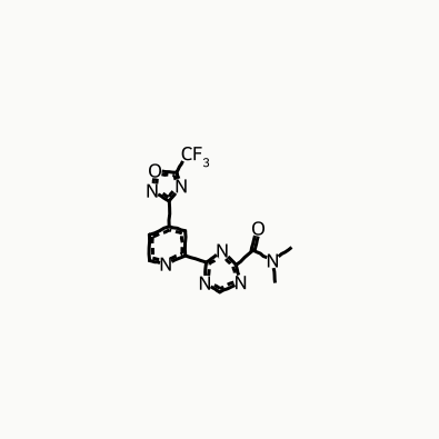 CN(C)C(=O)c1ncnc(-c2cc(-c3noc(C(F)(F)F)n3)ccn2)n1